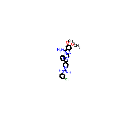 COc1cc2nc(CNCC3(c4ccccc4)CCN(C(=N)Nc4cccc(Cl)c4)CC3)nc(N)c2cc1OC